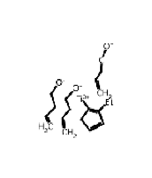 C=CCC[O-].C=CCC[O-].C=CCC[O-].CCC1=[C]([Ti+3])CC=C1